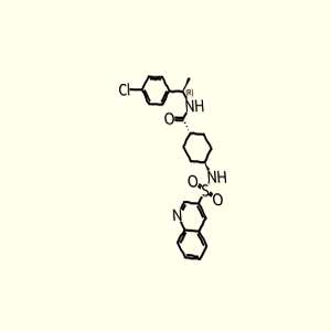 C[C@@H](NC(=O)[C@H]1CC[C@H](NS(=O)(=O)c2cnc3ccccc3c2)CC1)c1ccc(Cl)cc1